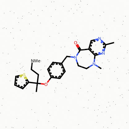 CNCCC(C)(Oc1ccc(CN2CCN(C)c3nc(C)ncc3C2=O)cc1)c1cccs1